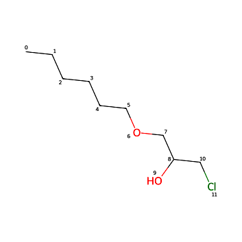 CCCCCCOCC(O)CCl